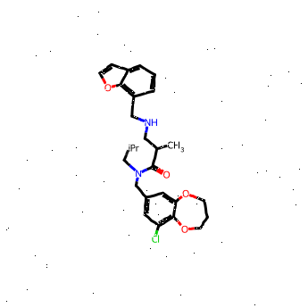 CC(C)CN(Cc1cc(Cl)c2c(c1)OCCCO2)C(=O)C(C)CNCc1cccc2ccoc12